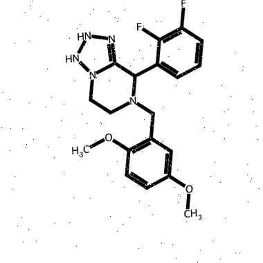 COc1ccc(OC)c(CN2CCN3NNN=C3C2c2cccc(F)c2F)c1